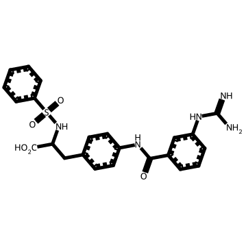 N=C(N)Nc1cccc(C(=O)Nc2ccc(CC(NS(=O)(=O)c3ccccc3)C(=O)O)cc2)c1